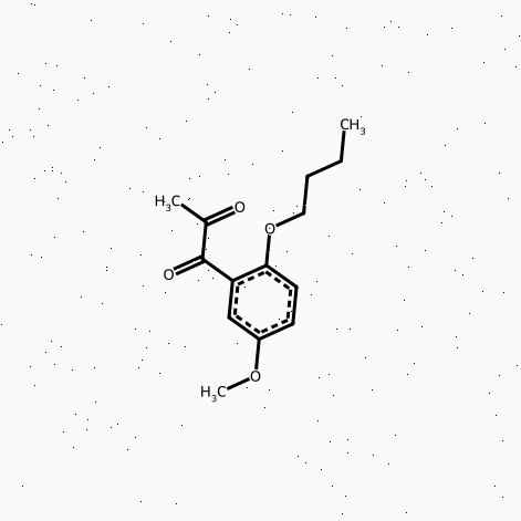 CCCCOc1ccc(OC)cc1C(=O)C(C)=O